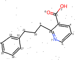 O=C(O)c1cccnc1CCCc1ccccc1